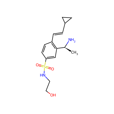 C[C@H](N)c1cc(S(=O)(=O)NCCO)ccc1/C=C/C1CC1